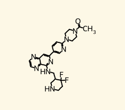 CC(=O)N1CCN(c2ccc(-c3cc4nccnc4c(NCC4CNCCC4(F)F)n3)cn2)CC1